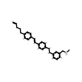 C=CCCCc1ccc(C=Cc2ccc(CCc3[c]ccc(COC)c3)cc2)cc1